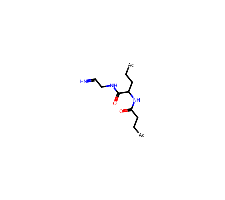 CC(=O)CCC(=O)NC(CCC(C)=O)C(=O)NCC=N